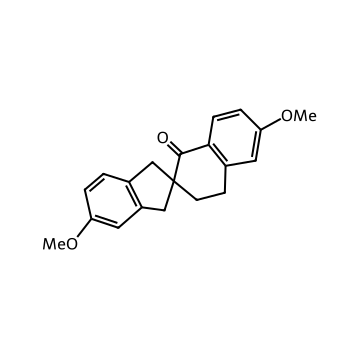 COc1ccc2c(c1)CC1(CCc3cc(OC)ccc3C1=O)C2